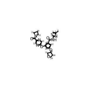 Cc1csc(NC(=O)c2cc(Oc3cnc(C(=O)N4CCC4)cn3)cc(O[C@H]3CCOC3)c2)n1